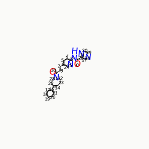 O=C(Nc1ccc(/C=C/C(=O)N2CCC=C(c3ccccc3)CC2)cn1)c1cnccn1